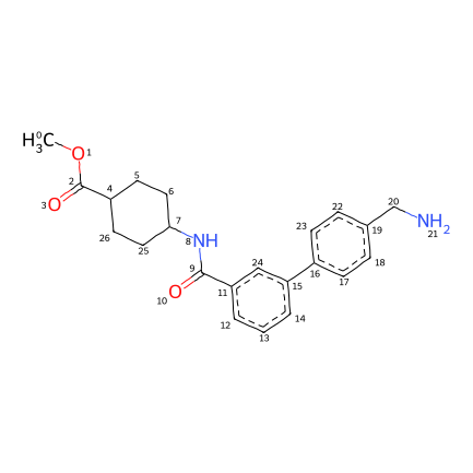 COC(=O)C1CCC(NC(=O)c2cccc(-c3ccc(CN)cc3)c2)CC1